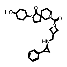 O=C(N1CC(CNC2CC2c2ccccc2)C1)N1CCCC2(CCN(C3CCC(O)CC3)C2=O)C1